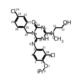 CC(C)Oc1ccc(/N=c2\[nH]c(N(C)CCO)nc(=O)n2Cc2ccc(Cl)cc2)cc1Cl